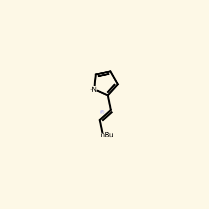 CCCC/C=C/C1=CC=C[N]1